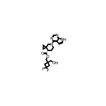 O=C(OCC1(CO)CC(F)(F)C1)[C@H]1CCN(c2ncnc3[nH]ccc23)CC12CC2